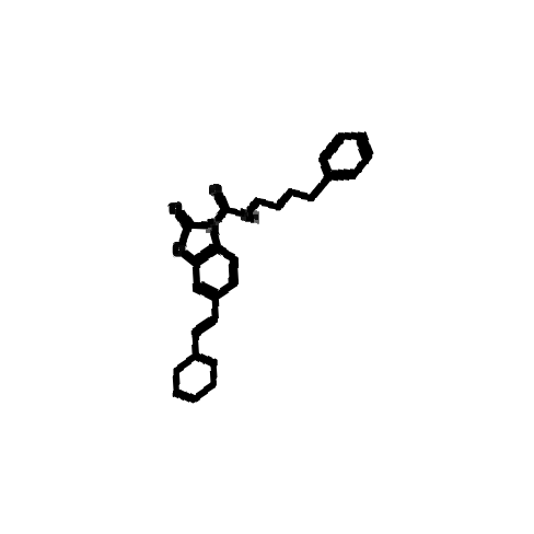 O=C(NCCCCc1ccccc1)n1c(=O)oc2cc(C=CC3CCCCC3)ccc21